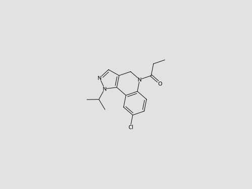 CCC(=O)N1Cc2cnn(C(C)C)c2-c2cc(Cl)ccc21